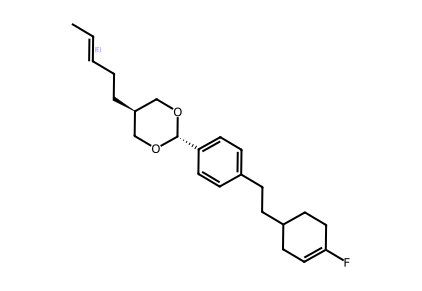 C/C=C/CC[C@H]1CO[C@H](c2ccc(CCC3CC=C(F)CC3)cc2)OC1